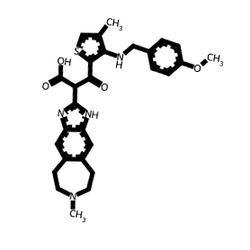 COc1ccc(CNc2c(C)csc2C(=O)C(C(=O)O)c2nc3cc4c(cc3[nH]2)CCN(C)CC4)cc1